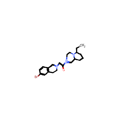 CCC1CCCC2CN(C(=O)CN3CCc4cc(Br)ccc4C3)CCN12